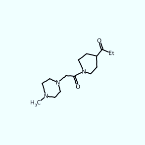 CCC(=O)C1CCN(C(=O)CN2CCN(C)CC2)CC1